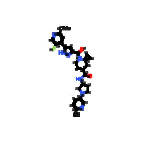 COc1cc(-c2cc(C(=O)N3CCC(C(=O)NC4CCN(c5ccc(C#N)nc5)C4)CC34CC4)n[nH]2)c(F)cn1